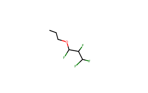 CCCOC(F)C(F)C(F)F